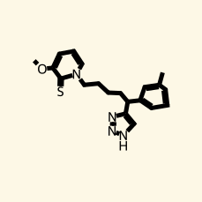 COc1cccn(CCCCC(c2cccc(C)c2)c2c[nH]nn2)c1=S